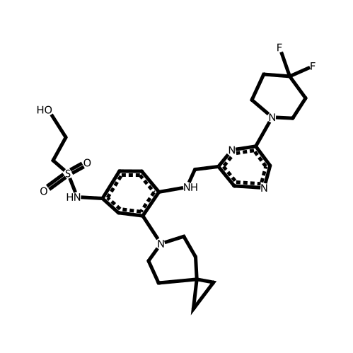 O=S(=O)(CCO)Nc1ccc(NCc2cncc(N3CCC(F)(F)CC3)n2)c(N2CCC3(CC2)CC3)c1